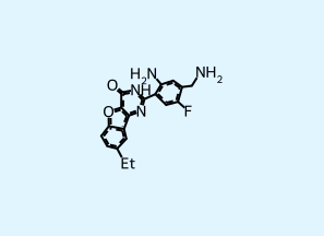 CCc1ccc2oc3c(=O)[nH]c(-c4cc(F)c(CN)cc4N)nc3c2c1